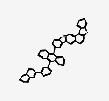 c1cc(-c2ccc3ccccc3c2)cc(-c2c3ccccc3c(-c3ccc4sc5cc6c(ccc7sc8ccccc8c76)cc5c4c3)c3ccccc23)c1